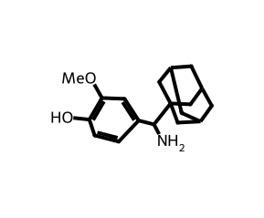 COc1cc(C(N)C23CC4CC(CC(C4)C2)C3)ccc1O